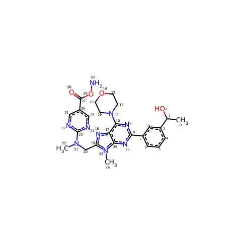 CC(O)c1cccc(-c2nc(N3CCOCC3)c3nc(CN(C)c4ncc(C(=O)ON)cn4)n(C)c3n2)c1